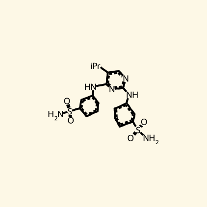 CC(C)c1cnc(Nc2cccc(S(N)(=O)=O)c2)nc1Nc1cccc(S(N)(=O)=O)c1